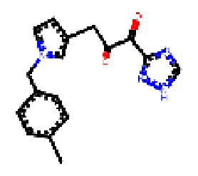 Cc1ccc(Cn2ccc(CC(=O)C(=O)c3nc[nH]n3)c2)cc1